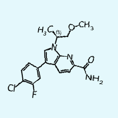 COC[C@H](C)n1cc(-c2ccc(Cl)c(F)c2)c2ccc(C(N)=O)nc21